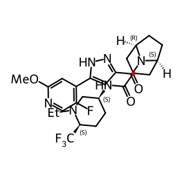 CCN1C[C@@H](NC(=O)C2C[C@H]3CC[C@@H](C2)N3C(=O)c2cc(-c3cc(OC)ncc3F)[nH]n2)CC[C@H]1C(F)(F)F